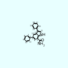 NC(=O)c1cc(-c2ccccc2)cc2c(-c3ccccc3)c[nH]c12